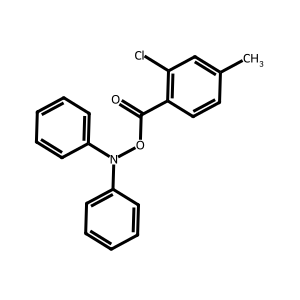 Cc1ccc(C(=O)ON(c2ccccc2)c2ccccc2)c(Cl)c1